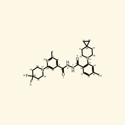 Cc1cc(C(=O)NNC(=O)c2ccc(I)cc2N2CCC3(CC2)CC3)cc(N2CCC(F)(F)CC2)n1